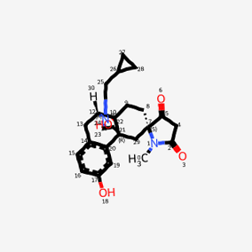 CN1C(=O)CC(=O)[C@@]12CC[C@@]1(O)[C@H]3Cc4ccc(O)cc4[C@@]1(CCN3CC1CC1)C2